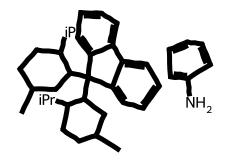 CC1CCC(C(C)C)C(C2(C3CC(C)CCC3C(C)C)c3ccccc3-c3ccccc32)C1.Nc1ccccc1